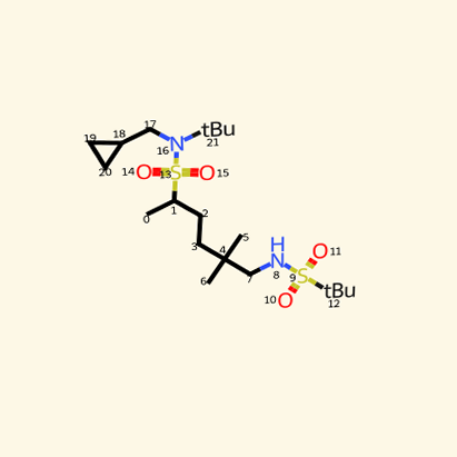 CC(CCC(C)(C)CNS(=O)(=O)C(C)(C)C)S(=O)(=O)N(CC1CC1)C(C)(C)C